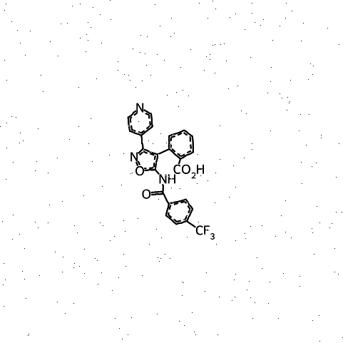 O=C(Nc1onc(-c2ccncc2)c1-c1ccccc1C(=O)O)c1ccc(C(F)(F)F)cc1